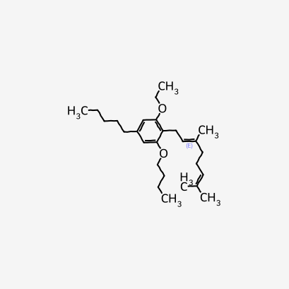 CCCCCc1cc(OCC)c(C/C=C(\C)CCC=C(C)C)c(OCCCC)c1